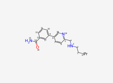 CC(C)CCNCc1ccc(-c2cccc(C(N)=O)c2)cn1